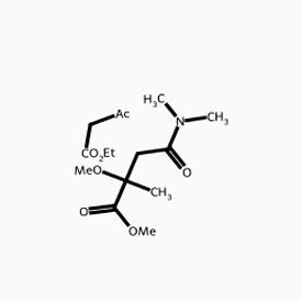 CCOC(=O)CC(C)=O.COC(=O)C(C)(CC(=O)N(C)C)OC